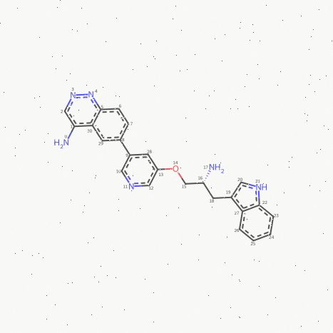 Nc1cnnc2ccc(-c3cncc(OC[C@H](N)Cc4c[nH]c5ccccc45)c3)cc12